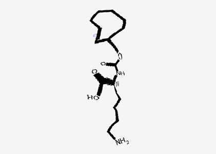 NCCCC[C@H](NC(=O)OC1/C=C/CCCCC1)C(=O)O